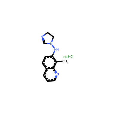 Cc1c(NN2C=NCC2)ccc2cccnc12.Cl.Cl